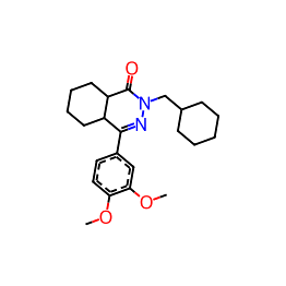 COc1ccc(C2=NN(CC3CCCCC3)C(=O)C3CCCCC23)cc1OC